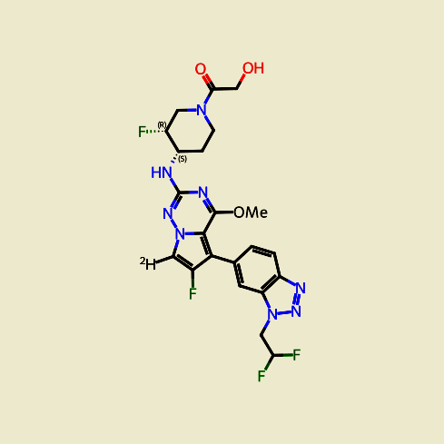 [2H]c1c(F)c(-c2ccc3nnn(CC(F)F)c3c2)c2c(OC)nc(N[C@H]3CCN(C(=O)CO)C[C@H]3F)nn12